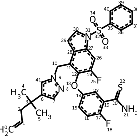 C=CCC(C)(C)c1cnn(Cc2c(Oc3ccc(F)c(C(N)=S)c3)c(F)cc3c2ccn3S(=O)(=O)c2ccccc2)c1